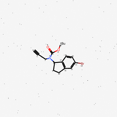 C#CCN(C(=O)OC(C)(C)C)C1CCc2cc(Br)ccc21